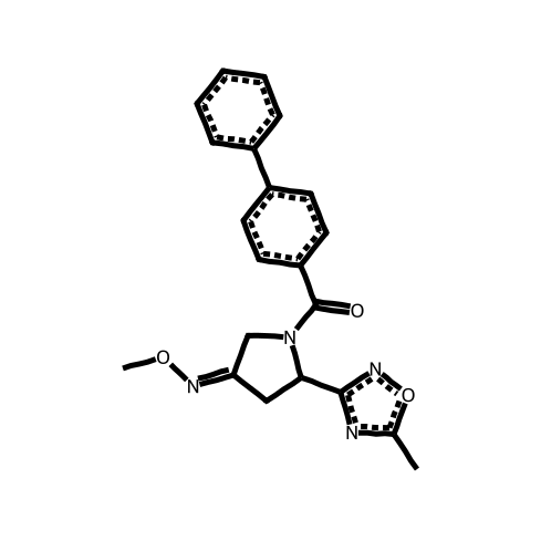 CON=C1CC(c2noc(C)n2)N(C(=O)c2ccc(-c3ccccc3)cc2)C1